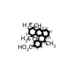 C=C(c1ccc(C(=O)O)cc1)c1cccc2cc3c(cc12)C(C)(C)CCC3(C)C